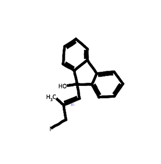 C/C(=C\C1(O)c2ccccc2-c2ccccc21)CI